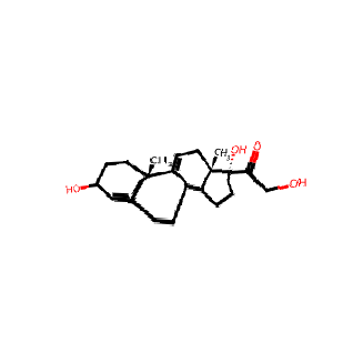 C[C@]12CCC(O)C=C1CCC1C2=CC[C@@]2(C)C1CC[C@]2(O)C(=O)CO